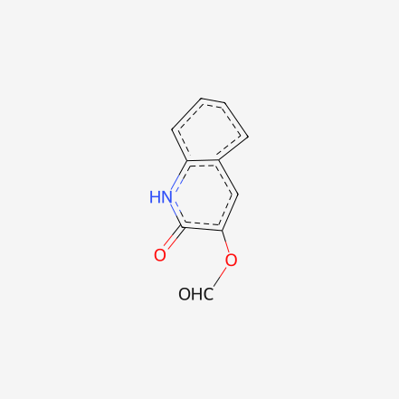 O=COc1cc2ccccc2[nH]c1=O